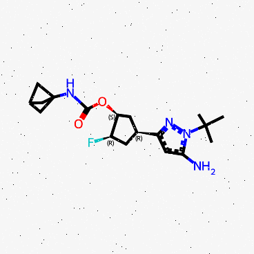 CC(C)(C)n1nc([C@H]2C[C@@H](F)[C@@H](OC(=O)NC34CC(C3)C4)C2)cc1N